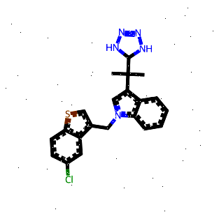 CC(C)(c1cn(Cc2csc3ccc(Cl)cc23)c2ccccc12)C1NN=NN1